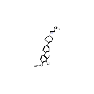 C/C=C/C1CC=C(c2ccc(-c3ccc(OCCC)c(Cl)c3F)cc2)CC1